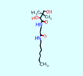 CCCCCCCNC(=O)CCNC(=O)C(O)C(C)(C)CO